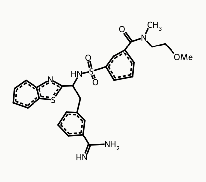 COCCN(C)C(=O)c1cccc(S(=O)(=O)NC(Cc2cccc(C(=N)N)c2)c2nc3ccccc3s2)c1